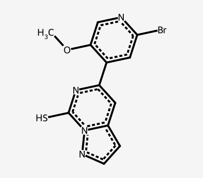 COc1cnc(Br)cc1-c1cc2ccnn2c(S)n1